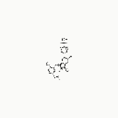 Cn1c(=O)c2cc(F)c(-c3cnc(C(C)(C)O)nc3)cc2n1Cc1cc(N)ccc1Cl